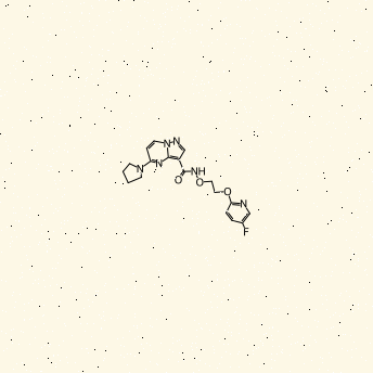 O=C(NOCCOc1ccc(F)cn1)c1cnn2ccc(N3CCCC3)nc12